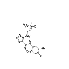 C[SH](N)(=O)CCNc1nonc1/C(=N/O)Nc1ccc(F)c(Br)c1